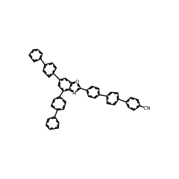 N#Cc1ccc(-c2ccc(-c3ccc(-c4nc5c(-c6ccc(-c7ccccc7)cc6)cc(-c6ccc(-c7ccccc7)cc6)cc5o4)cc3)cc2)cc1